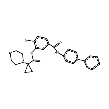 O=C(Nc1ccc(-c2ccccc2)cc1)c1ccc(Br)c(NC(=O)C2(N3CCOCC3)CC2)c1